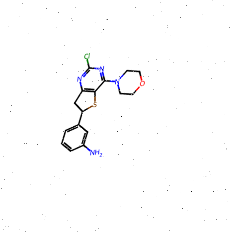 Nc1cccc(C2Cc3nc(Cl)nc(N4CCOCC4)c3S2)c1